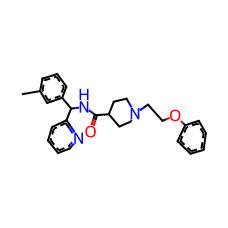 Cc1cccc(C(NC(=O)C2CCN(CCOc3ccccc3)CC2)c2ccccn2)c1